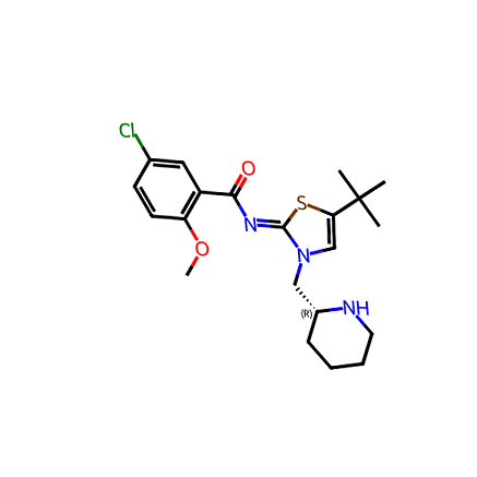 COc1ccc(Cl)cc1C(=O)N=c1sc(C(C)(C)C)cn1C[C@H]1CCCCN1